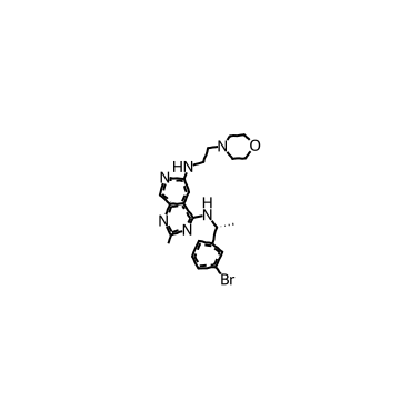 Cc1nc(N[C@H](C)c2cccc(Br)c2)c2cc(NCCN3CCOCC3)ncc2n1